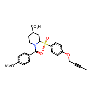 CC#CCOc1ccc(S(=O)(=O)C2CC(C(=O)O)CCN2C(=O)c2ccc(OC)cc2)cc1